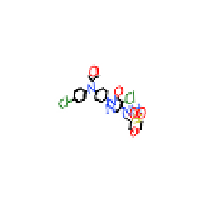 O=c1c(Cl)c(NC[C@@H]2COCCS2(=O)=O)cnn1[C@H]1CC[C@H](N(c2ccc(Cl)cc2)C2COC2)CC1